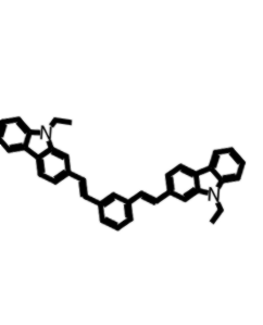 CCn1c2ccccc2c2ccc(C=Cc3cccc(C=Cc4ccc5c6ccccc6n(CC)c5c4)c3)cc21